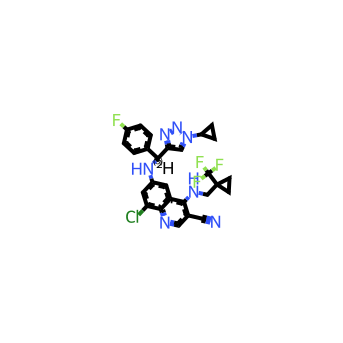 [2H][C@](Nc1cc(Cl)c2ncc(C#N)c(NCC3(C(F)(F)F)CC3)c2c1)(c1ccc(F)cc1)c1cn(C2CC2)nn1